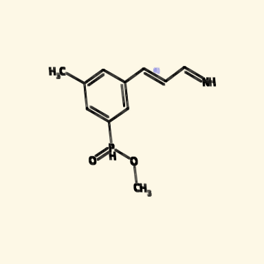 CO[PH](=O)c1cc(C)cc(/C=C/C=N)c1